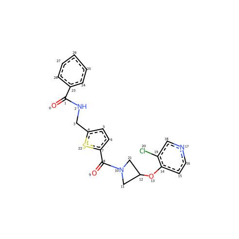 O=C(NCc1ccc(C(=O)N2CC(Oc3ccncc3Cl)C2)s1)c1ccccc1